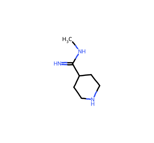 CNC(=N)C1CCNCC1